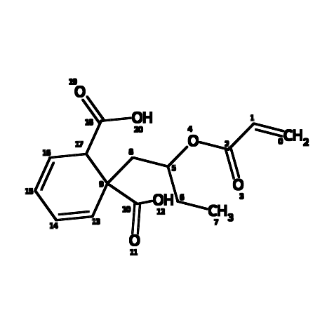 C=CC(=O)OC(CC)CC1(C(=O)O)C=CC=CC1C(=O)O